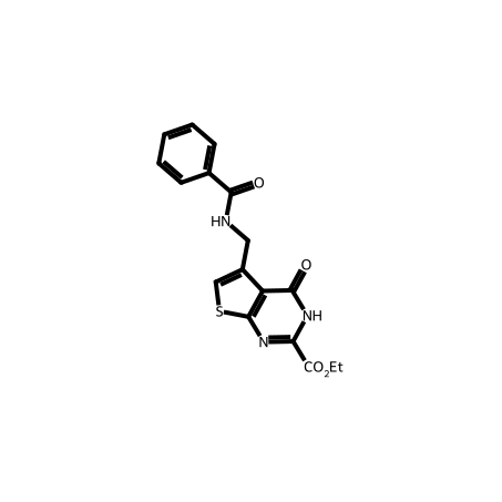 CCOC(=O)c1nc2scc(CNC(=O)c3ccccc3)c2c(=O)[nH]1